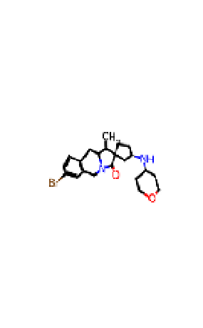 CC1C2Cc3ccc(Br)cc3CN2C(=O)[C@]12CC[C@@H](NC1CCOCC1)C2